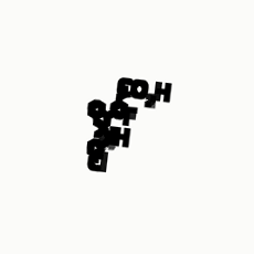 CC(N[C@H](C)c1cccc(Cl)c1)c1cc(-c2cc(F)cc(CCC(=O)O)c2)c2ccccc2c1